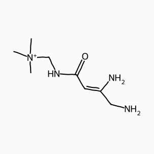 C[N+](C)(C)CNC(=O)C=C(N)CN